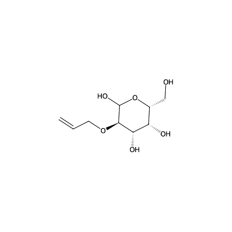 C=CCO[C@H]1C(O)O[C@H](CO)[C@H](O)[C@@H]1O